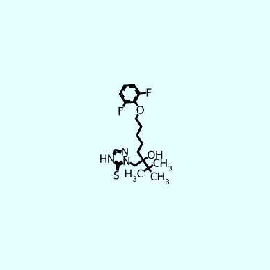 CC(C)(C)C(O)(CCCCCOc1c(F)cccc1F)Cn1nc[nH]c1=S